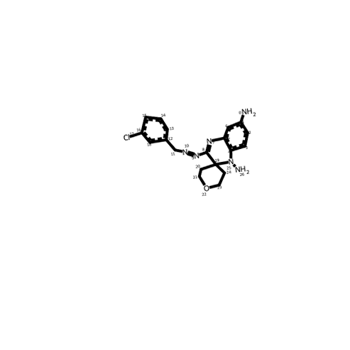 Nc1ccc2c(c1)N=C(N=NCc1cccc(Cl)c1)C1(CCOCC1)N2N